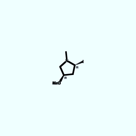 CO[C@@H]1C[C@@H](I)N(C)C1